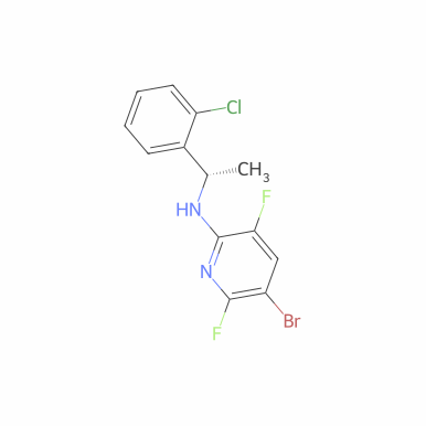 C[C@H](Nc1nc(F)c(Br)cc1F)c1ccccc1Cl